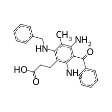 Cc1c(N)c(C(=O)c2ccccc2)c(N)c(CCC(=O)O)c1NCc1ccccc1